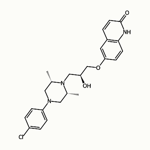 C[C@@H]1CN(c2ccc(Cl)cc2)C[C@H](C)N1C[C@H](O)COc1ccc2[nH]c(=O)ccc2c1